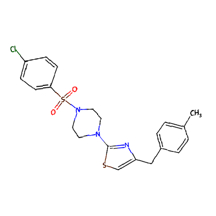 Cc1ccc(Cc2csc(N3CCN(S(=O)(=O)c4ccc(Cl)cc4)CC3)n2)cc1